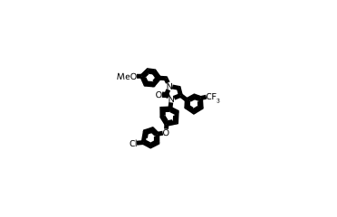 COc1ccc(CN2CC(c3cccc(C(F)(F)F)c3)N(c3ccc(Oc4ccc(Cl)cc4)cc3)C2=O)cc1